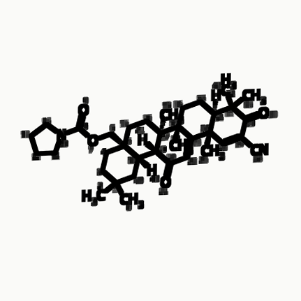 CC1(C)CC[C@]2(COC(=O)N3CCCC3)CC[C@]3(C)[C@H](C(=O)C=C4[C@@]5(C)C=C(C#N)C(=O)C(C)(C)[C@@H]5CC[C@]43C)[C@@H]2C1